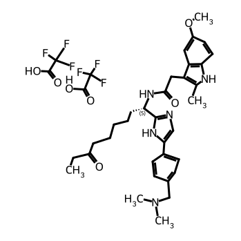 CCC(=O)CCCCC[C@H](NC(=O)Cc1c(C)[nH]c2ccc(OC)cc12)c1ncc(-c2ccc(CN(C)C)cc2)[nH]1.O=C(O)C(F)(F)F.O=C(O)C(F)(F)F